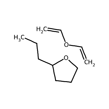 C=COC=C.CCCC1CCCO1